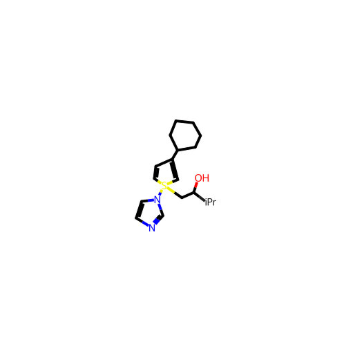 CC(C)C(O)CS1(n2ccnc2)C=CC(C2CCCCC2)=C1